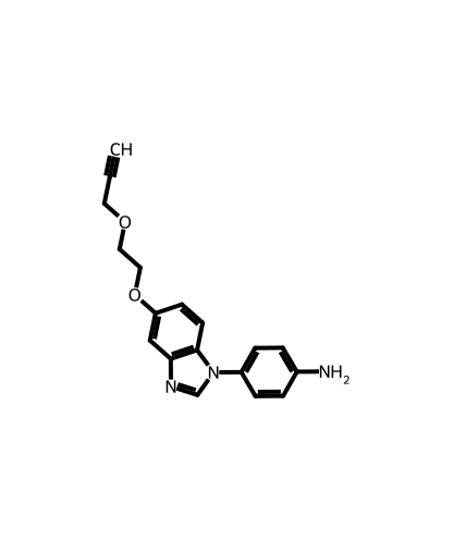 C#CCOCCOc1ccc2c(c1)ncn2-c1ccc(N)cc1